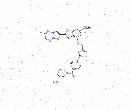 COc1cc(OCc2csc(-c3ccc(C(=O)N4CCC[C@@H](O)C4)cc3)n2)c2cc(-c3cn4nc(C)cnc4n3)oc2c1